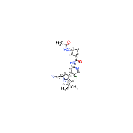 CC(=O)Nc1cccc(C(=O)Nc2cc(-c3cc(C#N)n4c3CC(C)(C)C4)c(Cl)cn2)c1